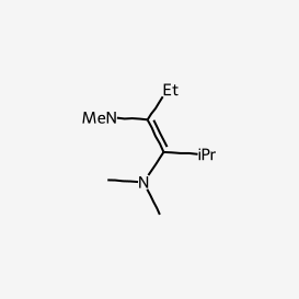 CC/C(NC)=C(\C(C)C)N(C)C